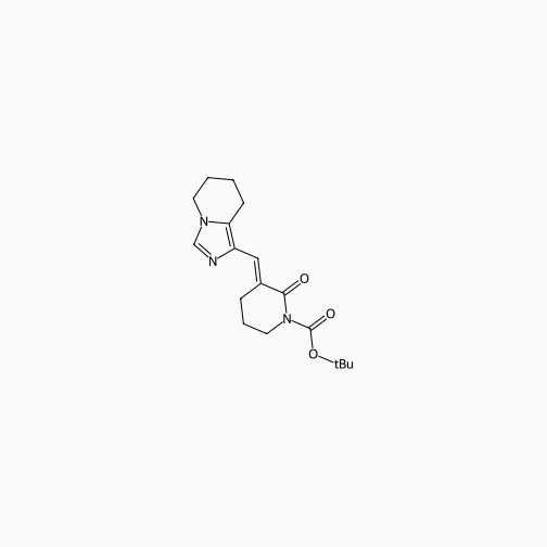 CC(C)(C)OC(=O)N1CCC/C(=C\c2ncn3c2CCCC3)C1=O